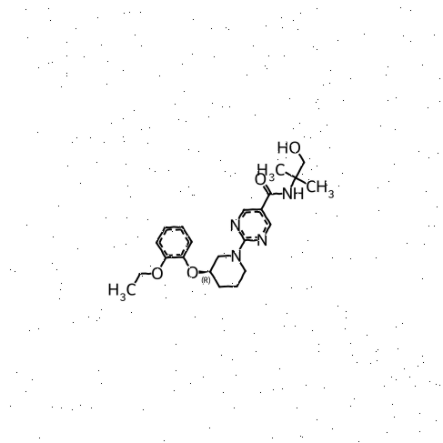 CCOc1ccccc1O[C@@H]1CCCN(c2ncc(C(=O)NC(C)(C)CO)cn2)C1